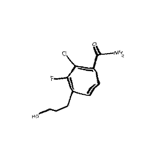 NC(=O)c1ccc([CH]CO)c(F)c1Cl